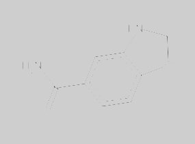 NC(=O)c1ccc2c(c1)NCO2